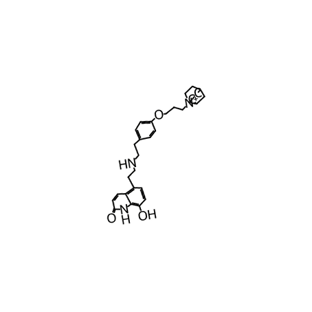 O=c1ccc2c(CCNCCc3ccc(OCCC[N+]45CCC(CC4)CC5)cc3)ccc(O)c2[nH]1